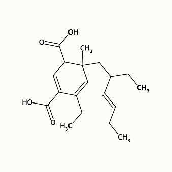 CCC=CC(CC)CC1(C)C=C(CC)C(C(=O)O)=CC1C(=O)O